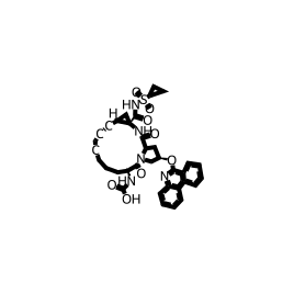 O=C(O)N[C@H]1CCCCCCC[C@@H]2C[C@]2(C(=O)NS(=O)(=O)C2CC2)NC(=O)C2C[C@@H](Oc3nc4ccccc4c4ccccc34)CN2C1=O